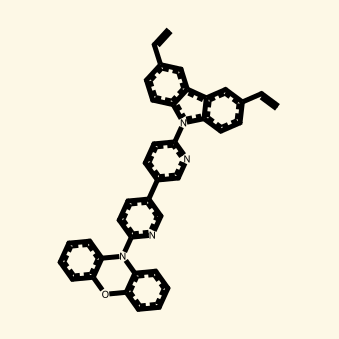 C=Cc1ccc2c(c1)c1cc(C=C)ccc1n2-c1ccc(-c2ccc(N3c4ccccc4Oc4ccccc43)nc2)cn1